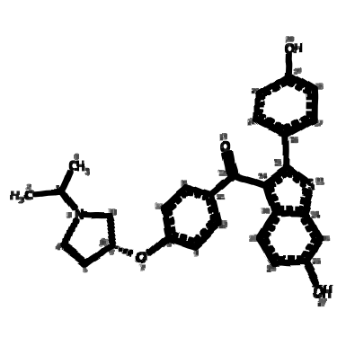 CC(C)N1CC[C@@H](Oc2ccc(C(=O)c3c(-c4ccc(O)cc4)sc4cc(O)ccc34)cc2)C1